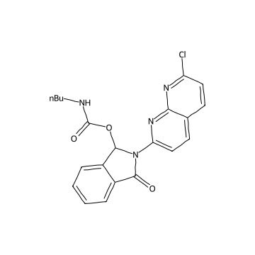 CCCCNC(=O)OC1c2ccccc2C(=O)N1c1ccc2ccc(Cl)nc2n1